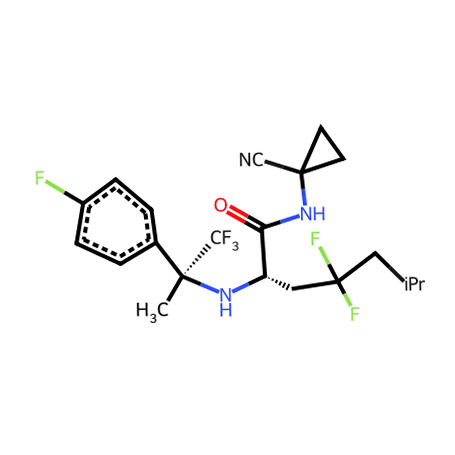 CC(C)CC(F)(F)C[C@H](N[C@@](C)(c1ccc(F)cc1)C(F)(F)F)C(=O)NC1(C#N)CC1